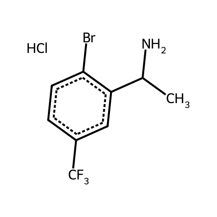 CC(N)c1cc(C(F)(F)F)ccc1Br.Cl